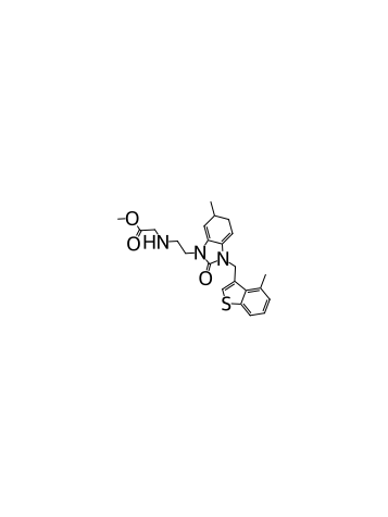 COC(=O)CNCCn1c2c(n(Cc3csc4cccc(C)c34)c1=O)=CCC(C)C=2